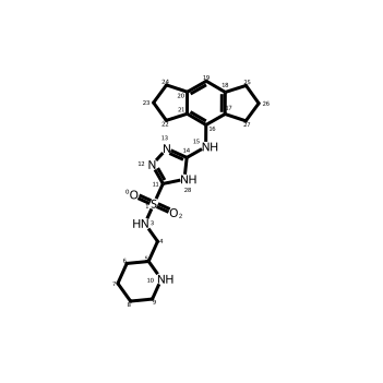 O=S(=O)(NCC1CCCCN1)c1nnc(Nc2c3c(cc4c2CCC4)CCC3)[nH]1